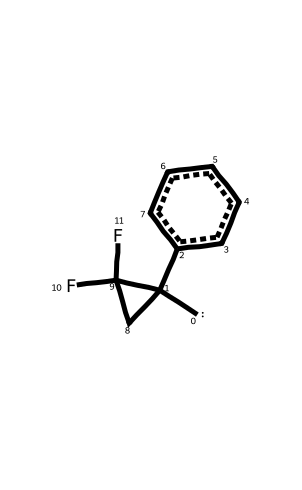 [CH]C1(c2ccccc2)CC1(F)F